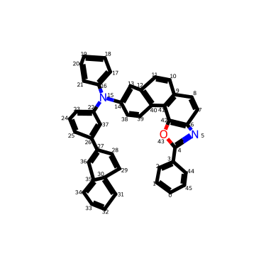 c1ccc(-c2nc3ccc4ccc5cc(N(c6ccccc6)c6cccc(-c7ccc8ccccc8c7)c6)ccc5c4c3o2)cc1